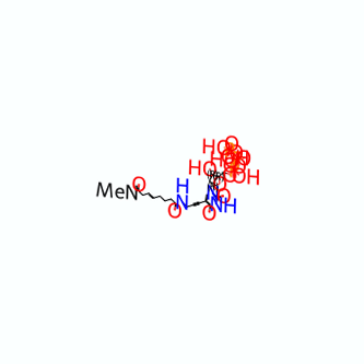 CNC(=O)CC=CCCCC(=O)NCC#Cc1cn([C@H]2C[C@@H](O)[C@@H](COP(=O)(O)OP(=O)(O)OP(=O)(O)O)O2)c(=O)[nH]c1=O